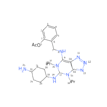 CC(=O)Oc1ccccc1CNC1=C2N=NN=C2N(C(C)C)C(NC2CCC(N)CC2)N1C(C)C